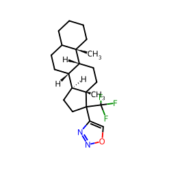 C[C@]12CCCCC1CC[C@@H]1[C@H]2CC[C@@]2(C)[C@H]1CCC2(c1conn1)C(F)(F)F